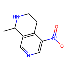 CC1NCCc2c1cncc2[N+](=O)[O-]